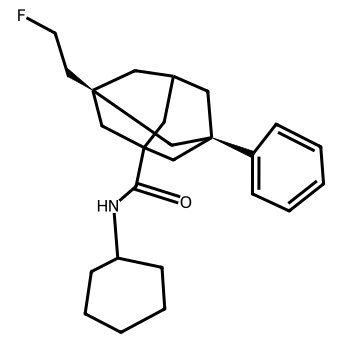 O=C(NC1CCCCC1)C12CC3C[C@@](CCF)(C1)C[C@](c1ccccc1)(C3)C2